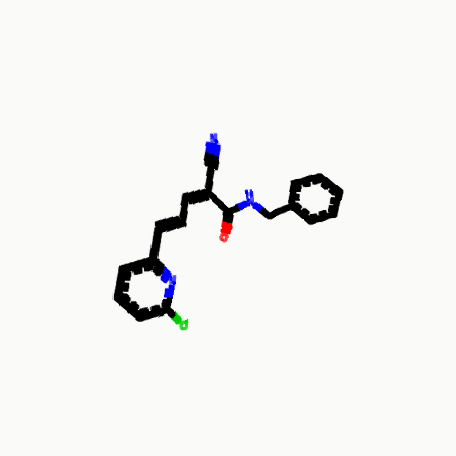 N#CC(=CC=Cc1cccc(Cl)n1)C(=O)NCc1ccccc1